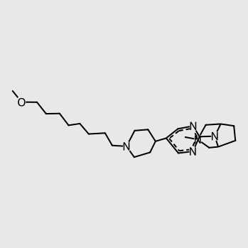 COCCCCCCCCN1CCC(c2cnc(N3C4CCC3CN(C)C4)nc2)CC1